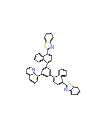 c1cnc2c(-c3cc(-c4ccc(-c5nc6ccccc6s5)c5ccccc45)cc(-c4ccc(-c5nc6ccccc6s5)c5ccccc45)c3)cccc2c1